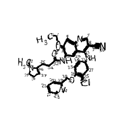 CCOc1cc2ncc(C#N)c(Nc3ccc(OCc4ccccn4)c(Cl)c3)c2cc1NC(=O)CCC1CCCN1C